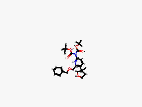 CC(C)(C)OC(=O)N(C(=O)OC(C)(C)C)c1ccc(C2(C)CCOC2)c(COCc2ccccc2)n1